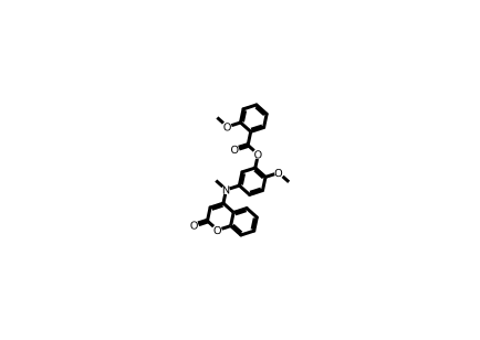 COc1ccc(N(C)c2cc(=O)oc3ccccc23)cc1OC(=O)c1ccccc1OC